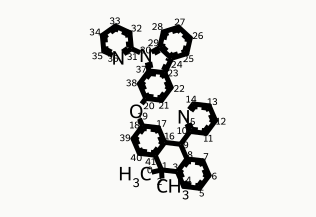 CC1(C)c2ccccc2C(c2ccccn2)c2cc(Oc3ccc4c5ccccc5n(-c5ccccn5)c4c3)ccc21